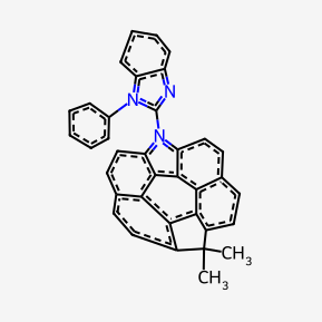 CC1(C)c2ccc3ccc4c5c3c2c2c1ccc1ccc(c5c12)n4-c1nc2ccccc2n1-c1ccccc1